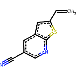 C=Cc1cc2cc(C#N)cnc2s1